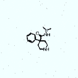 CN(C)NC(=O)C1(c2ccccc2)CCNCC1